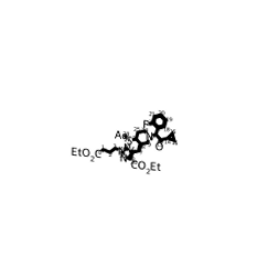 CCOC(=O)CCCn1nc(C=C2CN(C(C(=O)C3CC3)c3ccccc3F)CCC2SC(C)=O)c(C(=O)OCC)n1